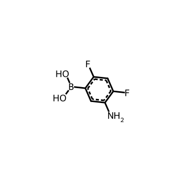 Nc1cc(B(O)O)c(F)cc1F